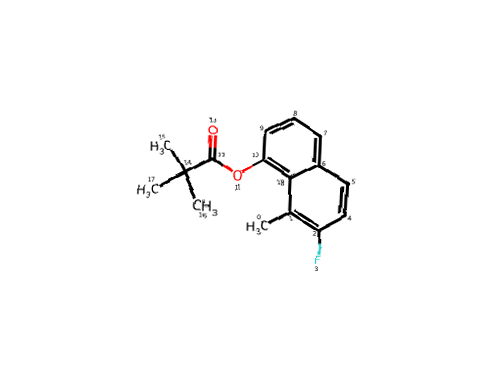 Cc1c(F)ccc2cccc(OC(=O)C(C)(C)C)c12